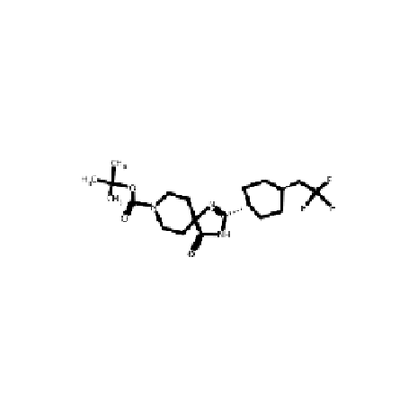 CC(C)(C)OC(=O)N1CCC2(CC1)N=C([C@H]1CC[C@H](CC(F)(F)F)CC1)NC2=O